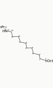 CCCCCCCCCCCCCCCCCCNCCC